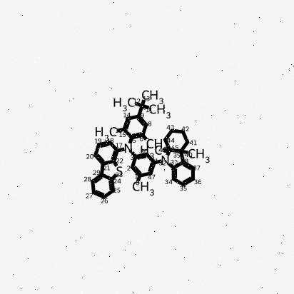 Cc1cc(N(c2c(C)cc(C(C)(C)C)cc2C)c2cccc3c2sc2ccccc23)cc(N2c3ccccc3C3(C)CCCCC23C)c1